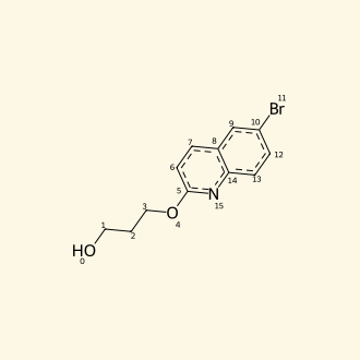 OCCCOc1ccc2cc(Br)ccc2n1